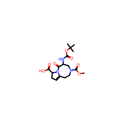 COC(=O)N1CCC2=CCC(C(=O)O)N2C(=O)C(NC(=O)OC(C)(C)C)C1